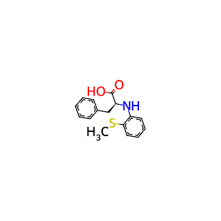 CSc1ccccc1N[C@@H](Cc1ccccc1)C(=O)O